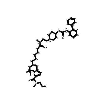 CCCN(C)C(=O)c1ccc(CN(CCCCCC(=O)N(C)CCN2CCC(OC(=O)Nc3ccccc3-c3ccccc3)CC2)CC(C)(C)C)s1